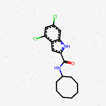 O=C(NC1CCCCCCC1)c1cc2c(Cl)cc(Cl)cc2[nH]1